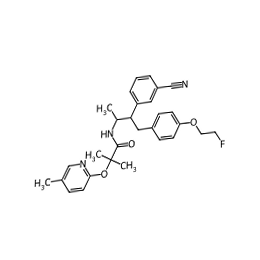 Cc1ccc(OC(C)(C)C(=O)NC(C)C(Cc2ccc(OCCF)cc2)c2cccc(C#N)c2)nc1